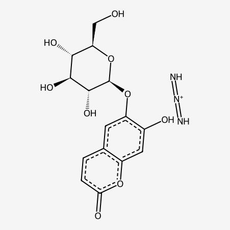 N=[N+]=N.O=c1ccc2cc(O[C@@H]3O[C@H](CO)[C@@H](O)[C@H](O)[C@H]3O)c(O)cc2o1